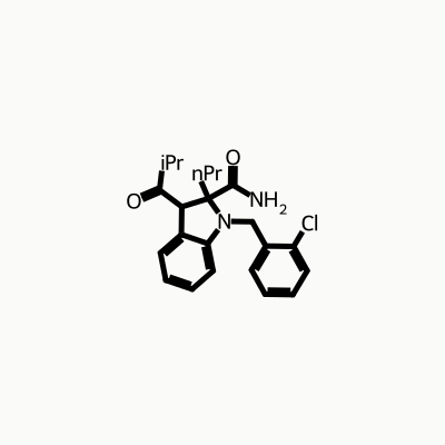 CCCC1(C(N)=O)C(C(=O)C(C)C)c2ccccc2N1Cc1ccccc1Cl